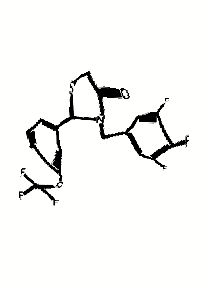 O=C1CSC(c2cccc(OC(F)(F)F)c2)N1Cc1cc(F)c(F)c(F)c1